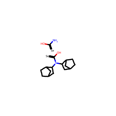 NC(O)=[Se].OC(=[Se])N(C1CC2CCC1C2)C1CC2CCC1C2